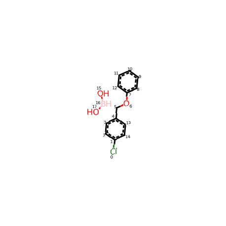 Clc1ccc(COc2ccccc2)cc1.OBO